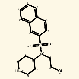 O=S(=O)(c1ccc2ccccc2c1)N(CCO)C1CCNCC1